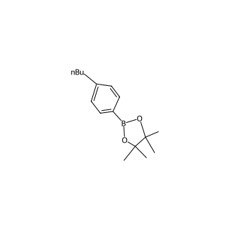 CC[CH]Cc1ccc(B2OC(C)(C)C(C)(C)O2)cc1